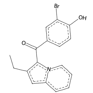 CCc1cc2ccccn2c1C(=O)c1ccc(O)c(Br)c1